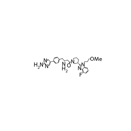 COCCCn1c([C@@H]2CCCN(C(=O)C[C@H](N)Cc3ccc(-c4cnc(N)nc4)cc3)C2)nc2c(F)cccc21